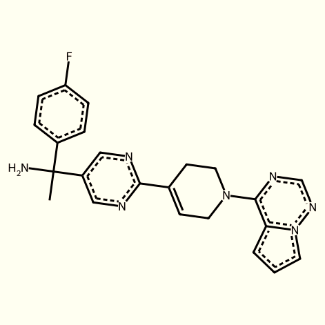 CC(N)(c1ccc(F)cc1)c1cnc(C2=CCN(c3ncnn4cccc34)CC2)nc1